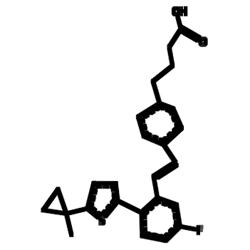 CC1(c2ccc(-c3ccc(F)cc3/C=C/c3ccc(CCCC(=O)O)cc3)s2)CC1